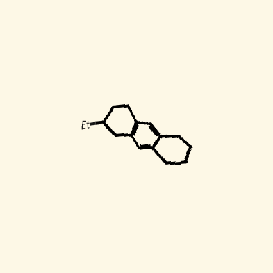 CCC1CCc2cc3c(cc2C1)CCCC3